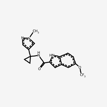 Cn1cc(C2(NC(=O)c3cc4cc(OC(F)(F)F)ccc4[nH]3)CC2)cn1